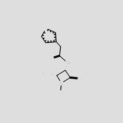 CC(=O)O[C@@H]1[C@H](NC(=O)Cc2ccsc2)C(=O)N1S(=O)(=O)O